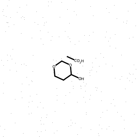 CC(=O)O.OC1CCOCO1